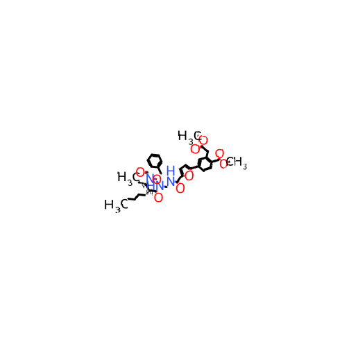 CCCCC[C@@H](C(=O)NCNC(=O)c1ccc(-c2ccc(C(=O)OC)c(CC(=O)OC)c2)o1)[C@@H](CC)N(C=O)OCc1ccccc1